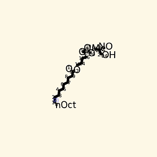 CCCCCCCC/C=C\CCCCCCCC(=O)OCCCCP(=O)(OC)OCC(CO)N=O